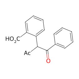 CC(=O)C(C(=O)c1ccccc1)c1ccccc1C(=O)O